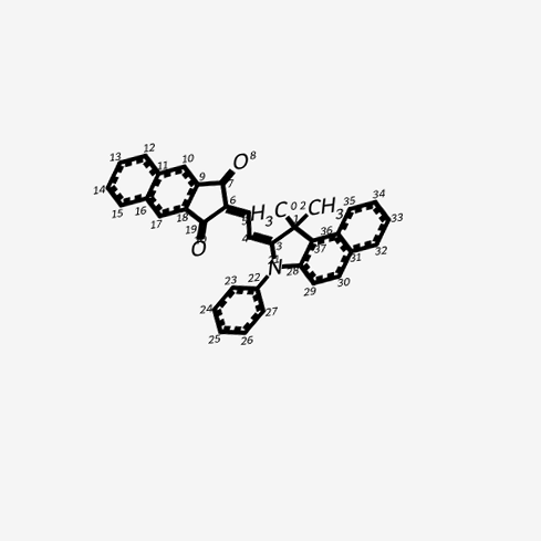 CC1(C)/C(=C\C=C2C(=O)c3cc4ccccc4cc3C2=O)N(c2ccccc2)c2ccc3ccccc3c21